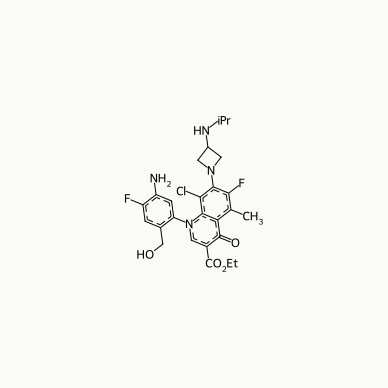 CCOC(=O)c1cn(-c2cc(N)c(F)cc2CO)c2c(Cl)c(N3CC(NC(C)C)C3)c(F)c(C)c2c1=O